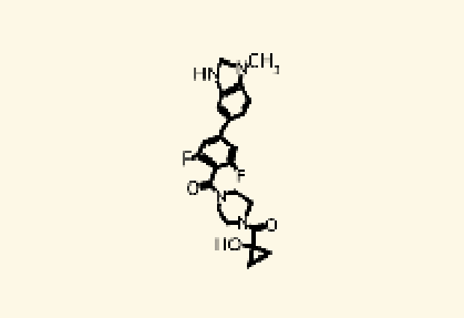 CN1CNc2cc(-c3cc(F)c(C(=O)N4CCN(C(=O)C5(O)CC5)CC4)c(F)c3)ccc21